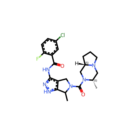 CC1c2[nH]nc(NC(=O)c3cc(Cl)ccc3F)c2CN1C(=O)N1C[C@@H]2CCCN2C[C@@H]1C